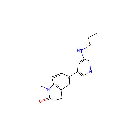 CCSNc1cncc(-c2ccc3c(c2)CCC(=O)N3C)c1